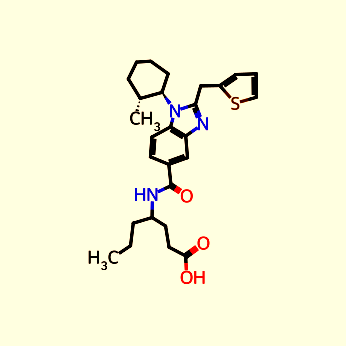 CCCC(CCC(=O)O)NC(=O)c1ccc2c(c1)nc(Cc1cccs1)n2[C@@H]1CCCC[C@H]1C